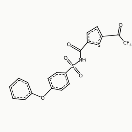 O=C(NS(=O)(=O)c1ccc(Oc2ccccc2)cc1)c1ccc(C(=O)C(F)(F)F)s1